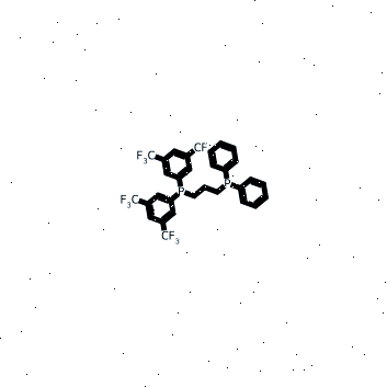 FC(F)(F)c1cc(P(CCCP(c2ccccc2)c2ccccc2)c2cc(C(F)(F)F)cc(C(F)(F)F)c2)cc(C(F)(F)F)c1